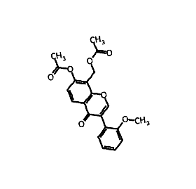 COc1ccccc1-c1coc2c(COC(C)=O)c(OC(C)=O)ccc2c1=O